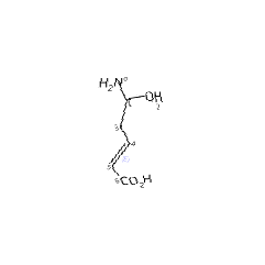 NC(O)C/C=C/C(=O)O